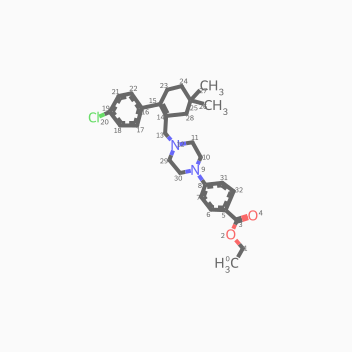 CCOC(=O)c1ccc(N2CCN(CC3=C(c4ccc(Cl)cc4)CCC(C)(C)C3)CC2)cc1